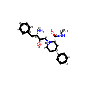 CC(C)(C)NC(=O)[C@@H]1C[C@H](c2ccccc2)CCN1C[C@@H](O)[C@@H](N)Cc1ccccc1